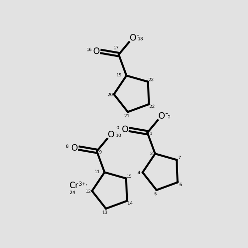 O=C([O-])C1CCCC1.O=C([O-])C1CCCC1.O=C([O-])C1CCCC1.[Cr+3]